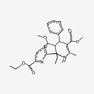 CCOC(=O)c1csc(C2(C)NC(C)=C(C(=O)OC)C(c3ccccc3)C2C(=O)OC)n1